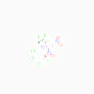 CCN(c1cc(F)c(Cl)c(Cl)c1Cl)c1c([N+](=O)[O-])cc([N+](=O)[O-])cc1C(F)(F)F